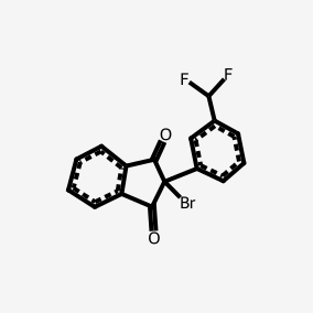 O=C1c2ccccc2C(=O)C1(Br)c1cccc(C(F)F)c1